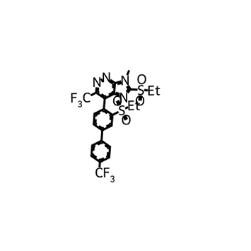 CCS(=O)(=O)c1cc(-c2ccc(C(F)(F)F)cc2)ccc1-c1c(C(F)(F)F)nnc2c1nc(S(=O)(=O)CC)n2C